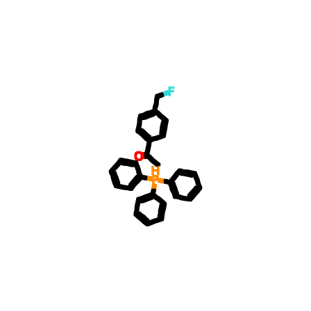 O=C(C[PH](c1ccccc1)(c1ccccc1)c1ccccc1)c1ccc(CF)cc1